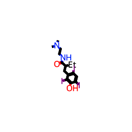 CCC(Cc1c(I)cc(I)c(O)c1I)C(=O)NCCN(C)C